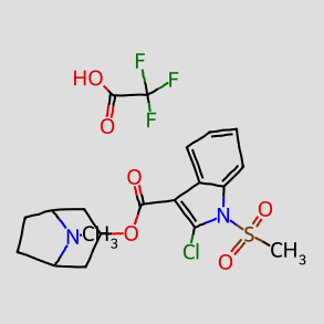 CN1C2CCC1CC(OC(=O)c1c(Cl)n(S(C)(=O)=O)c3ccccc13)C2.O=C(O)C(F)(F)F